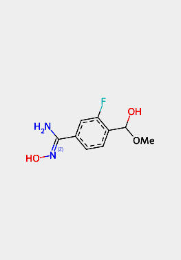 COC(O)c1ccc(/C(N)=N/O)cc1F